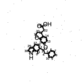 Cc1c(C(Cc2ccccc2)Oc2ccc3c(c2)OCCC3CC(=O)O)ccc2cc[nH]c12